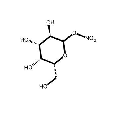 O=[N+]([O-])OC1O[C@H](CO)[C@H](O)[C@H](O)[C@H]1O